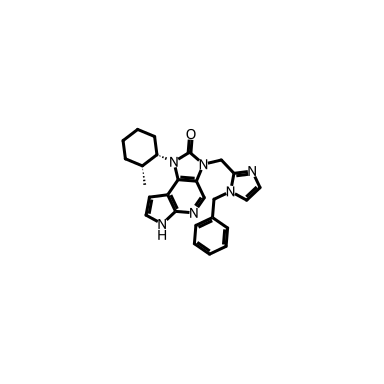 C[C@@H]1CCCC[C@@H]1n1c(=O)n(Cc2nccn2Cc2ccccc2)c2cnc3[nH]ccc3c21